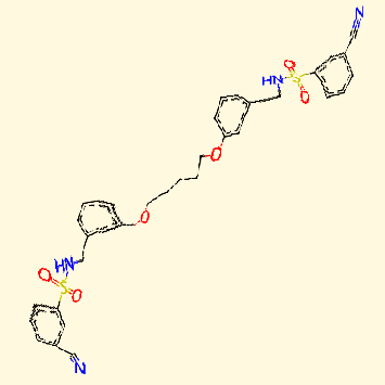 N#Cc1cccc(S(=O)(=O)NCc2cccc(OCCCCCOc3cccc(CNS(=O)(=O)c4cccc(C#N)c4)c3)c2)c1